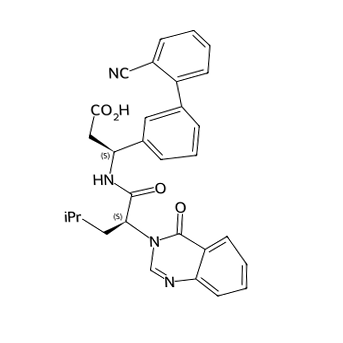 CC(C)C[C@@H](C(=O)N[C@@H](CC(=O)O)c1cccc(-c2ccccc2C#N)c1)n1cnc2ccccc2c1=O